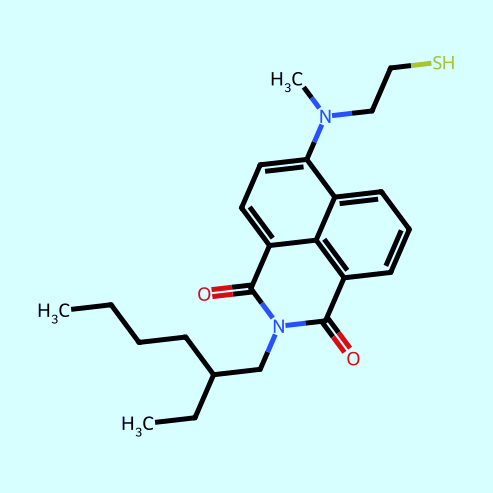 CCCCC(CC)CN1C(=O)c2cccc3c(N(C)CCS)ccc(c23)C1=O